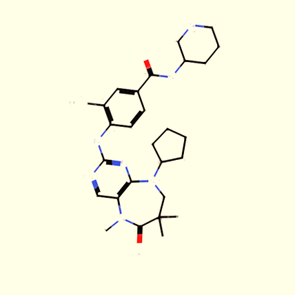 CCC1(C)CN(C2CCCC2)c2nc(Nc3ccc(C(=O)NC4CCCNC4)cc3OC)ncc2N(C)C1=O